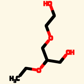 CCOC(CO)COCCO